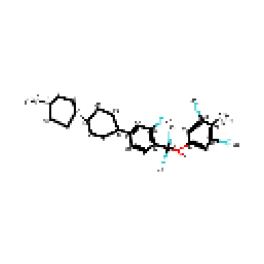 CCC[C@H]1CC[C@H](C2CCC(c3ccc(C(F)(F)Oc4cc(F)c(C(F)(F)F)c(F)c4)c(F)c3)CC2)CC1